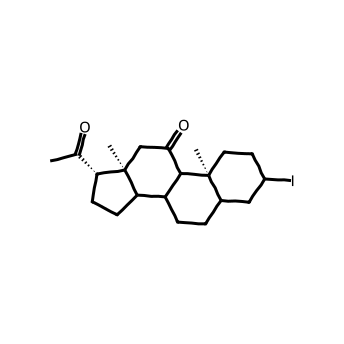 CC(=O)[C@H]1CCC2C3CCC4CC(I)CC[C@]4(C)C3C(=O)C[C@@]21C